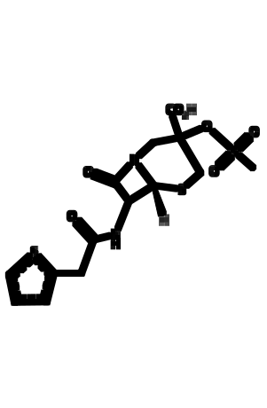 CS(=O)(=O)OC1(C(=O)O)CS[C@@H]2C(NC(=O)Cc3cccs3)C(=O)N2C1